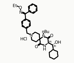 CCCCN1C(=O)[C@@H]([C@H](O)C2CCCCC2)NC(=O)C12CCN(Cc1ccc(C(=NOCC)c3ccccc3)cc1)CC2.Cl